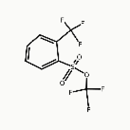 O=S(=O)(OC(F)(F)F)c1ccccc1C(F)(F)F